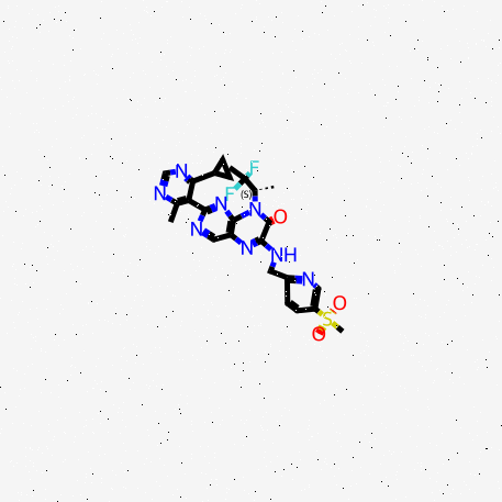 Cc1ncnc(C2CC2)c1-c1ncc2nc(NCc3ccc(S(C)(=O)=O)cn3)c(=O)n([C@@H](C)C(C)(F)F)c2n1